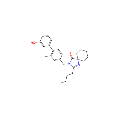 CCCCC1=NC2(CCCCC2)C(=O)N1Cc1ccc(-c2cccc(O)c2)c(C)c1